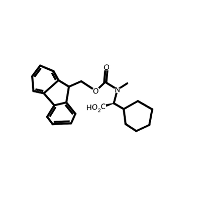 CN(C(=O)OCC1c2ccccc2-c2ccccc21)[C@H](C(=O)O)C1CCCCC1